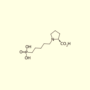 O=C(O)[C@@H]1CCCN1CCCCCP(=O)(O)O